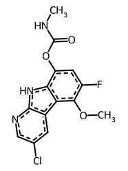 CNC(=O)Oc1cc(F)c(OC)c2c1[nH]c1ncc(Cl)cc12